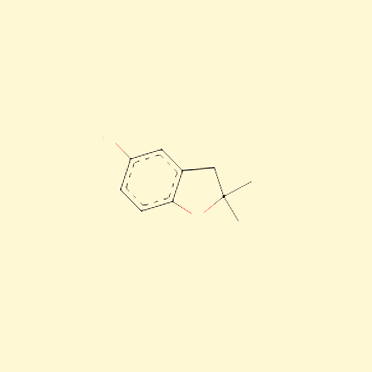 CC1(C)Cc2cc(O)ccc2O1